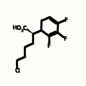 O=C(O)[C@@H](CCCCCl)C1CC=C(F)C(F)=C1F